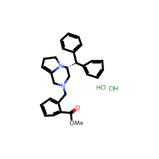 COC(=O)c1ccccc1CN1CC2=CCCN2[C@H](C(c2ccccc2)c2ccccc2)C1.Cl.Cl